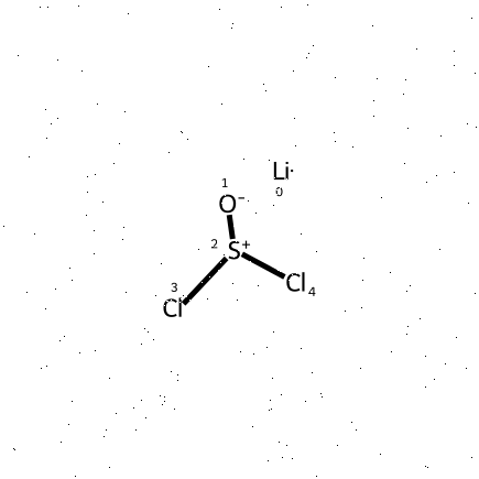 [Li].[O-][S+](Cl)Cl